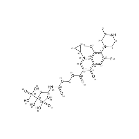 COc1c(N2CCNC(C)C2)c(F)cc2c(=O)c(C(=O)OCOC(=O)NCCC(O)(P(=O)(O)O)P(=O)(O)O)cn(C3CC3)c12